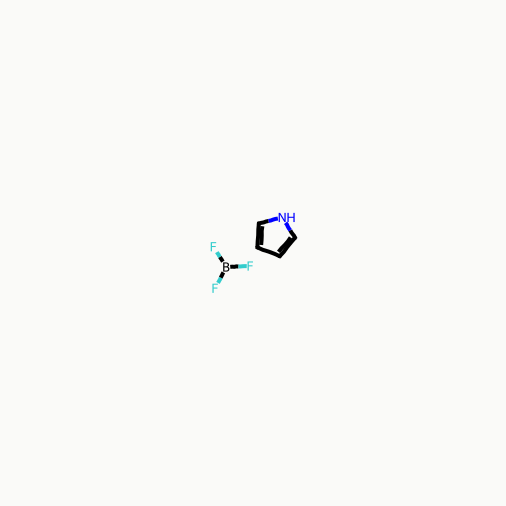 FB(F)F.c1cc[nH]c1